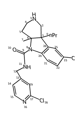 CCCC12CNCCC1(C)N(C(=O)NCc1ccnc(Cl)c1)c1ccc(Cl)cc12